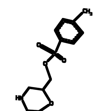 Cc1ccc(S(=O)(=O)OCC2CNCCO2)cc1